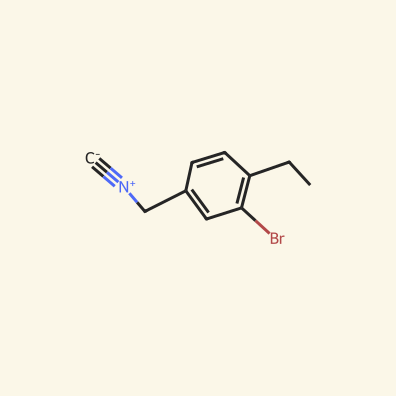 [C-]#[N+]Cc1ccc(CC)c(Br)c1